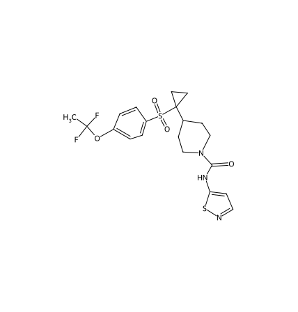 CC(F)(F)Oc1ccc(S(=O)(=O)C2(C3CCN(C(=O)Nc4ccns4)CC3)CC2)cc1